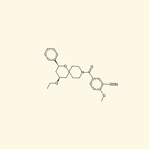 CCO[C@H]1C[C@@H](c2ccccc2)OC2(CCN(C(=O)c3ccc(OC)c(C#N)c3)CC2)C1